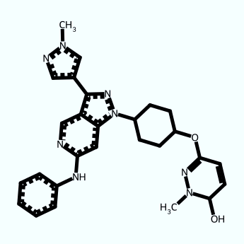 CN1N=C(OC2CCC(n3nc(-c4cnn(C)c4)c4cnc(Nc5ccccc5)cc43)CC2)C=CC1O